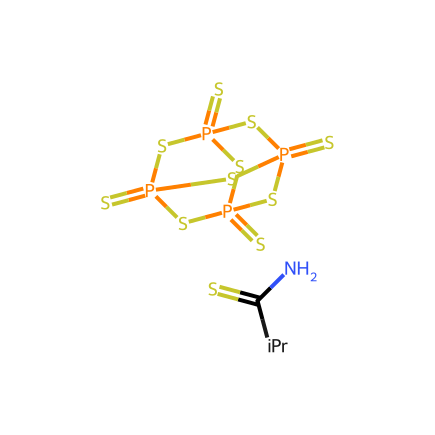 CC(C)C(N)=S.S=P12SP3(=S)SP(=S)(S1)SP(=S)(S2)S3